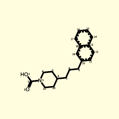 O=C(O)N1CCC(CCCc2ccc3ccccc3c2)CC1